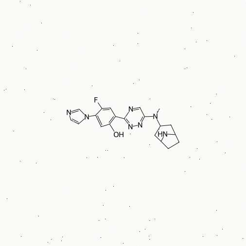 CN(c1cnc(-c2cc(F)c(-n3ccnc3)cc2O)nn1)C1CC2CCC(C1)N2